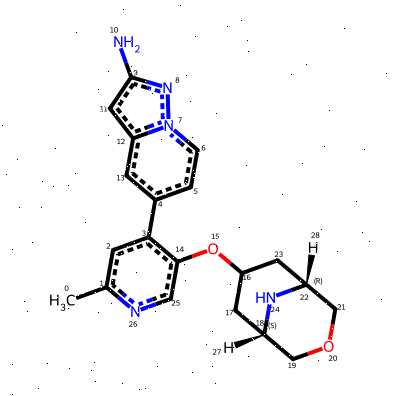 Cc1cc(-c2ccn3nc(N)cc3c2)c(OC2C[C@H]3COC[C@@H](C2)N3)cn1